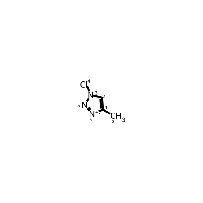 CC1=CN(Cl)N=[N+]1